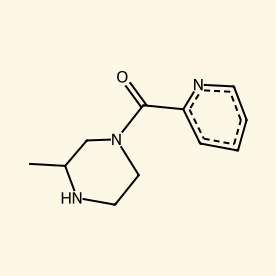 CC1CN(C(=O)c2ccccn2)CCN1